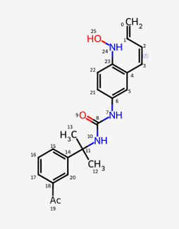 C=C/C=C\c1cc(NC(=O)NC(C)(C)c2cccc(C(C)=O)c2)ccc1NO